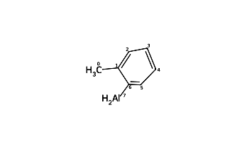 Cc1cccc[c]1[AlH2]